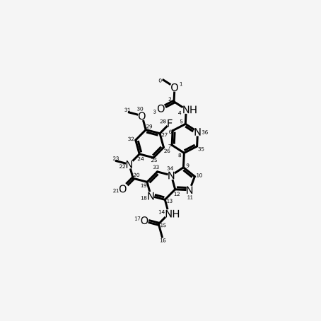 COC(=O)Nc1ccc(-c2cnc3c(NC(C)=O)nc(C(=O)N(C)c4ccc(F)c(OC)c4)cn23)cn1